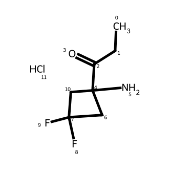 CCC(=O)C1(N)CC(F)(F)C1.Cl